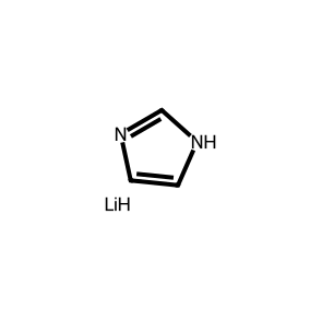 [LiH].c1c[nH]cn1